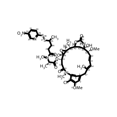 COc1cc2cc(c1Cl)N(C)C(=O)C[C@H](OC(=O)[C@H](C)N(C)C(=O)CCC(C)SSc1ccc([N+](=O)[O-])cn1)[C@]1(C)O[C@H]1[C@H](C)[C@@H]1C[C@@](O)(NC(=O)O1)[C@H](OC)/C=C/C=C(\C)C2